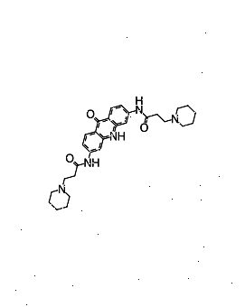 O=C(CCN1CCCCC1)Nc1ccc2c(=O)c3ccc(NC(=O)CCN4CCCCC4)cc3[nH]c2c1